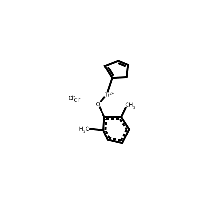 Cc1cccc(C)c1[O][Ti+2][C]1=CC=CC1.[Cl-].[Cl-]